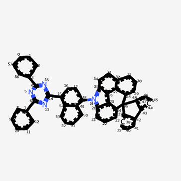 c1ccc(-c2nc(-c3ccccc3)nc(-c3ccc(-n4c5cccc6c5c5c7c(cccc7ccc54)C64c5ccccc5-c5ccccc54)c4ccccc34)n2)cc1